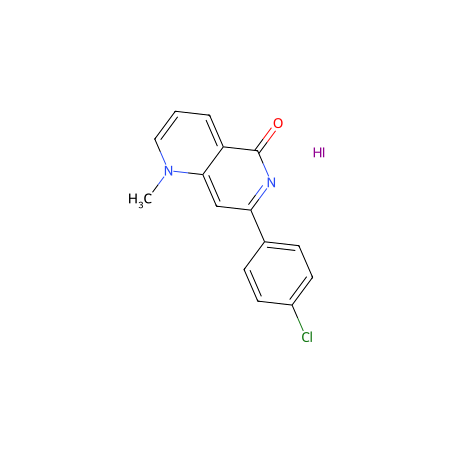 Cn1cccc2c(=O)nc(-c3ccc(Cl)cc3)cc1-2.I